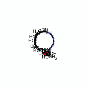 C[C@@H]1[C@H](O)[C@@H](C)/C=C/C=C\C=C\C=C\C=C\C=C\C=C\[C@H](O[C@@H]2O[C@H](C)[C@@H](O)[C@H](N)[C@@H]2O)C[C@@H]2O[C@](O)(CC(O)C[C@@H](O)[C@H](O)CC[C@@H](O)C[C@@H](O)CC(=O)O[C@H]1C)C[C@H](O)[C@H]2C(=O)O